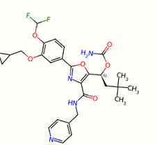 CC(C)(C)C[C@H](OC(N)=O)c1oc(-c2ccc(OC(F)F)c(OCC3CC3)c2)nc1C(=O)NCc1ccncc1